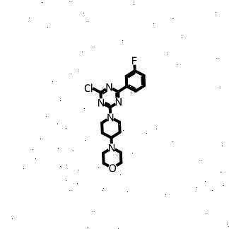 Fc1cccc(-c2nc(Cl)nc(N3CCC(N4CCOCC4)CC3)n2)c1